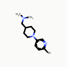 CC(C)c1ccc(N2CCC(CN(C)C)CC2)cn1